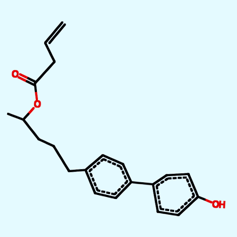 C=CCC(=O)OC(C)CCCc1ccc(-c2ccc(O)cc2)cc1